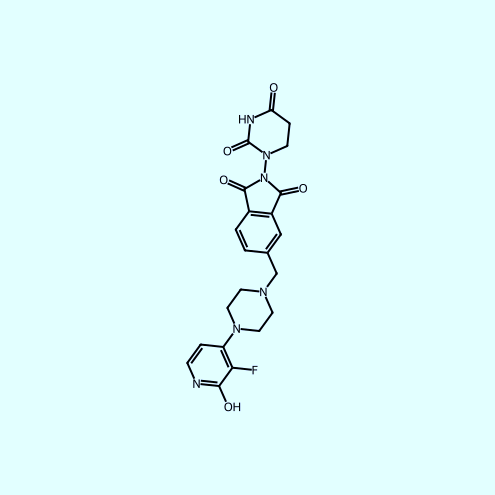 O=C1CCN(N2C(=O)c3ccc(CN4CCN(c5ccnc(O)c5F)CC4)cc3C2=O)C(=O)N1